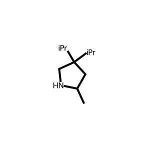 CC1CC(C(C)C)(C(C)C)CN1